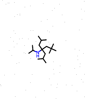 CC(C)CC(CC(C)C)(CC(C)(C)C)NC(C)C